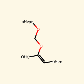 CCCCCCC=C(C=O)OCOCCCCCCC